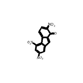 O=C1C2=Cc3cc([N+](=O)[O-])cc([N+](=O)[O-])c3C2=CC=C1[N+](=O)[O-]